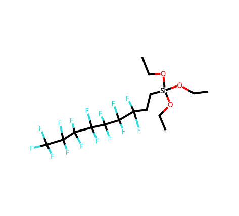 CCO[Si](CCC(F)(F)C(F)(F)C(F)(F)C(F)(F)C(F)(F)C(F)(F)C(F)(F)F)(OCC)OCC